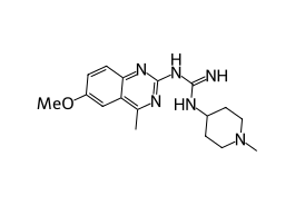 COc1ccc2nc(NC(=N)NC3CCN(C)CC3)nc(C)c2c1